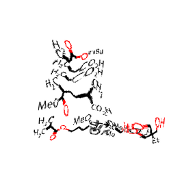 C=C(C)C(=O)OCCC[Si](OC)(OC)OC.C=C(CC=C(C)C(=O)O)C(=O)OC.C=CC(=O)O.C=CC(=O)O.C=CC(=O)O.C=CC(=O)OCCCC.CCC(CO)(CO)CO